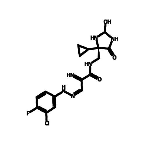 N=C(/C=N\Nc1ccc(F)c(Cl)c1)C(=O)NC[C@@]1(C2CC2)NC(O)NC1=O